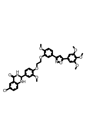 COc1cc(C2NC(=O)c3cc(Cl)ccc3N2)ccc1OCCOc1cc(-c2cc(-c3cc(OC)c(OC)c(OC)c3)on2)ccc1OC